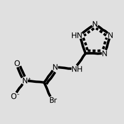 O=[N+]([O-])/C(Br)=N/Nc1nnn[nH]1